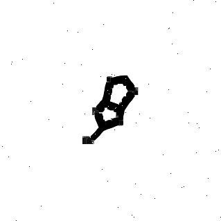 CCC(C)c1nc2scnc2s1